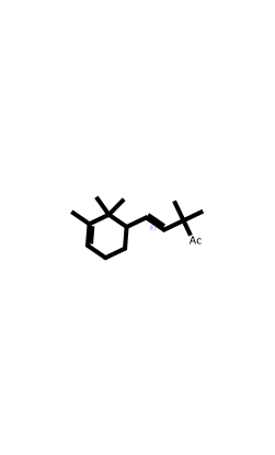 CC(=O)C(C)(C)/C=C/C1CCC=C(C)C1(C)C